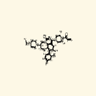 C=CC(=O)N1[C@H](C)CN(c2nc(=O)n3c4c(c(-c5ccc(F)cc5F)c(C)cc24)SCC(N2CCN(CC)CC2)C3)C[C@@H]1C